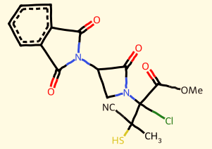 COC(=O)C(Cl)(N1CC(N2C(=O)c3ccccc3C2=O)C1=O)C(C)(S)C#N